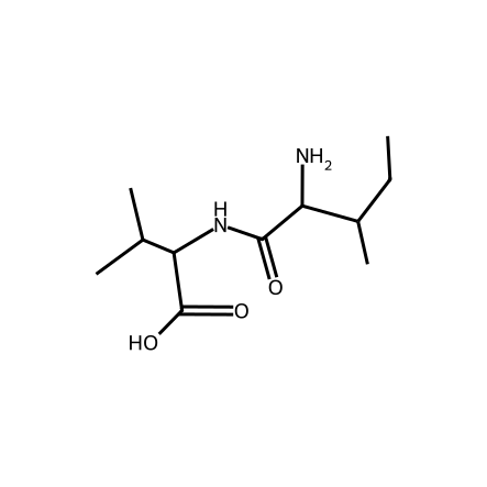 CCC(C)C(N)C(=O)NC(C(=O)O)C(C)C